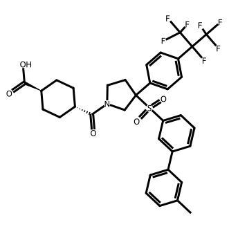 Cc1cccc(-c2cccc(S(=O)(=O)C3(c4ccc(C(F)(C(F)(F)F)C(F)(F)F)cc4)CCN(C(=O)[C@H]4CC[C@H](C(=O)O)CC4)C3)c2)c1